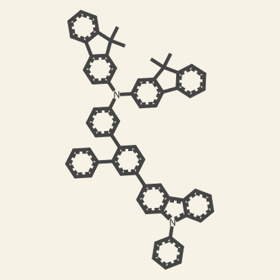 CC1(C)c2ccccc2-c2ccc(N(c3cccc(-c4ccc(-c5ccc6c(c5)c5ccccc5n6-c5ccccc5)cc4-c4ccccc4)c3)c3ccc4c(c3)C(C)(C)c3ccccc3-4)cc21